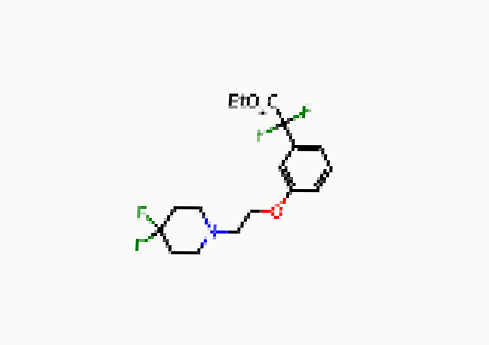 CCOC(=O)C(F)(F)c1cccc(OCCN2CCC(F)(F)CC2)c1